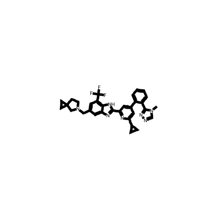 Cn1cnnc1-c1ccccc1-c1cc(-c2nc3cc(CN4CCC5(CC5)C4)cc(C(F)(F)F)c3[nH]2)nc(C2CC2)c1